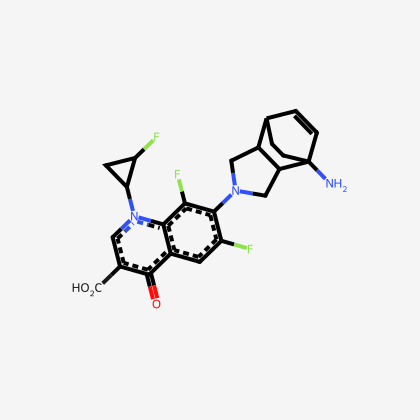 NC12C=CC(CC1)C1CN(c3c(F)cc4c(=O)c(C(=O)O)cn(C5CC5F)c4c3F)CC12